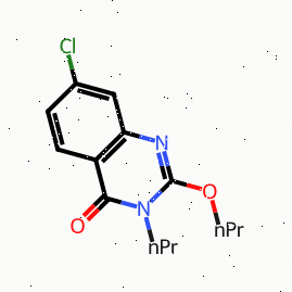 CCCOc1nc2cc(Cl)ccc2c(=O)n1CCC